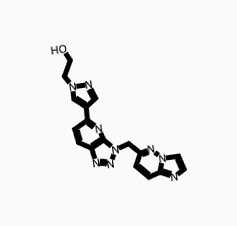 OCCn1cc(-c2ccc3nnn(Cc4ccc5nccn5n4)c3n2)cn1